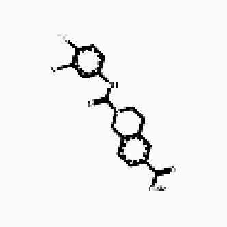 COC(=O)c1ccc2c(c1)CCN(C(=O)Nc1ccc(C(F)(F)F)c(Cl)c1)C2